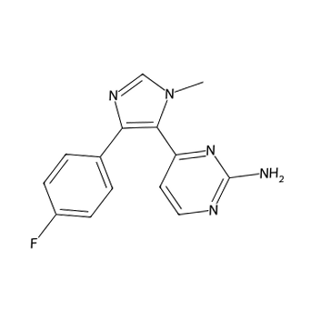 Cn1cnc(-c2ccc(F)cc2)c1-c1ccnc(N)n1